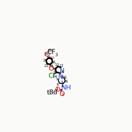 CC(C)(C)OC(=O)NC1CCN(c2nccc(Oc3ccc(OC(F)(F)F)cc3)c2Cl)CC1